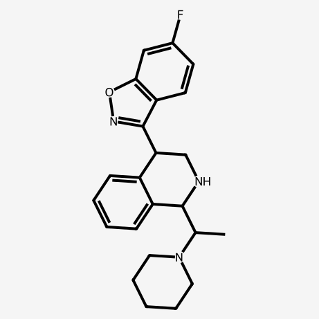 CC(C1NCC(c2noc3cc(F)ccc23)c2ccccc21)N1CCCCC1